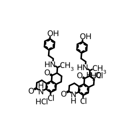 CC(NCCc1ccc(O)cc1)C1CCc2cc(Cl)c3c(c2C1=O)CCC(=O)N3.CC(NCCc1ccc(O)cc1)C1CCc2cc(Cl)c3c(c2C1=O)CCC(=O)N3.Cl.Cl.O